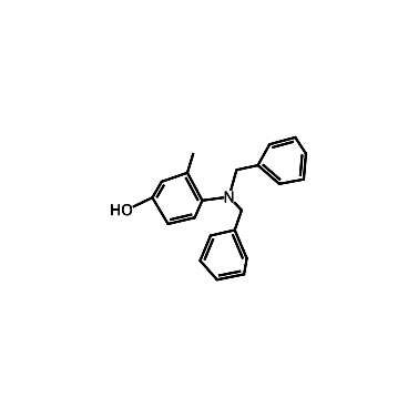 Cc1cc(O)ccc1N(Cc1ccccc1)Cc1ccccc1